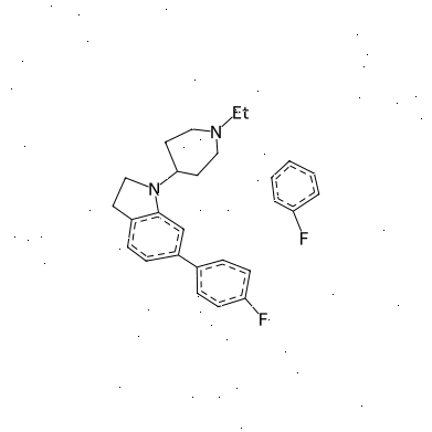 CCN1CCC(N2CCc3ccc(-c4ccc(F)cc4)cc32)CC1.Fc1ccccc1